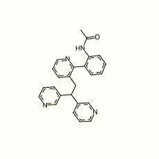 CC(=O)Nc1ccccc1-c1ncccc1CC(c1cccnc1)c1cccnc1